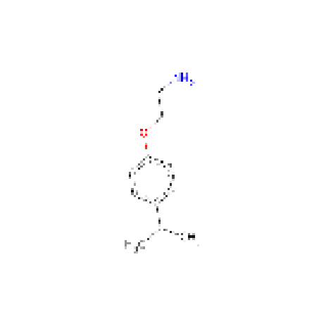 CC(C)c1ccc(OCCN)cc1